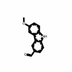 COc1ccc2[nH]c3ccc(C=O)cc3c2c1